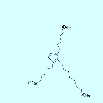 CCCCCCCCCCCCCCCCCc1n(CCCCCCCCCCCCCCC)cc[n+]1CCCCCCCCCCCCCCC